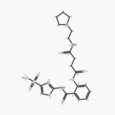 CS(=O)(=O)c1csc(NC(=O)c2ccccc2OC(=O)CCC(=O)NCCN2CCCC2)n1